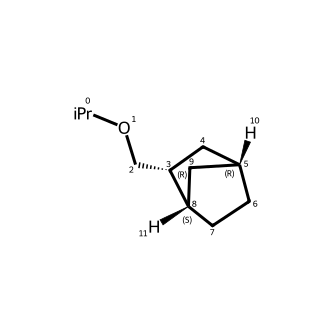 CC(C)OC[C@@H]1C[C@@H]2CC[C@H]1C2